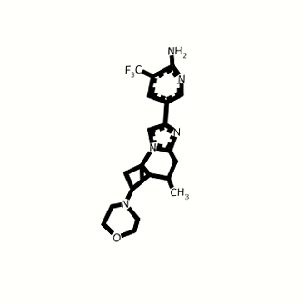 CC1Cc2nc(-c3cnc(N)c(C(F)(F)F)c3)cn2C23CC(N4CCOCC4)(C2)C13